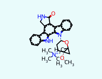 CO[C@@]12C[C@@]1(C)O[C@@H](n1c3ccccc3c3c4c(c5c6ccccc6[nH]c5c31)CNC4=O)C[C@H]2[N+](C)(C)C